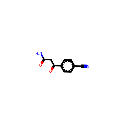 N#Cc1ccc(C(=O)CC(N)=O)cc1